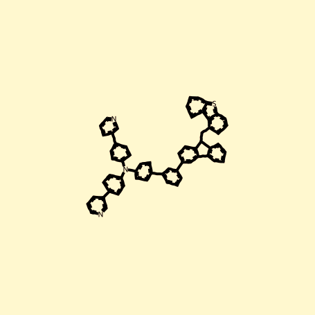 c1cncc(-c2ccc(N(c3ccc(-c4cccnc4)cc3)c3ccc(-c4cccc(-c5ccc6c(c5)-c5ccccc5C6Cc5cccc6sc7ccccc7c56)c4)cc3)cc2)c1